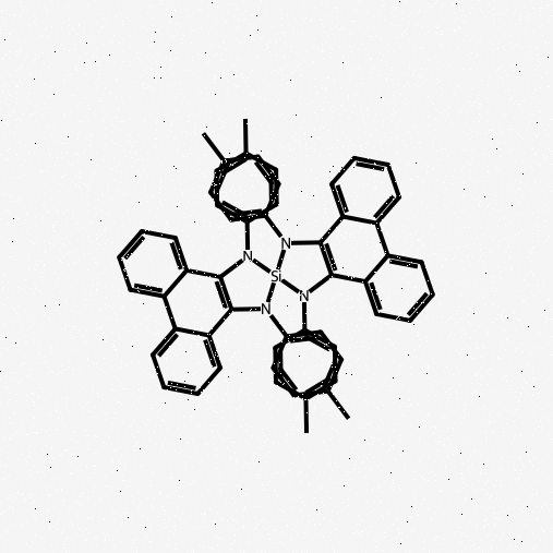 Cc1ccc(N2c3c(c4ccccc4c4ccccc34)N(c3ccc(C)cc3)[Si]23N(c2ccc(C)cc2)c2c(c4ccccc4c4ccccc24)N3c2ccc(C)cc2)cc1